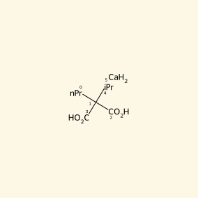 CCCC(C(=O)O)(C(=O)O)C(C)C.[CaH2]